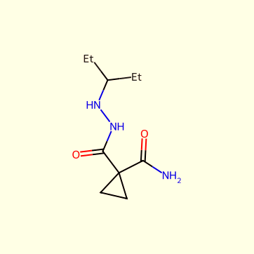 CCC(CC)NNC(=O)C1(C(N)=O)CC1